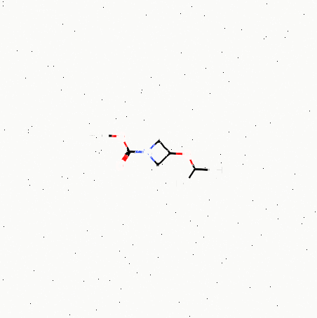 COC(=O)N1CC(OC(C)C)C1